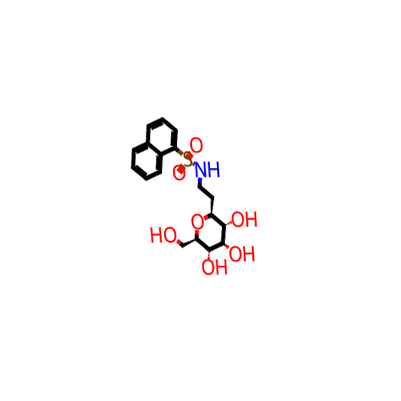 O=S(=O)(NCC[C@@H]1O[C@H](CO)[C@@H](O)[C@H](O)[C@H]1O)c1cccc2ccccc12